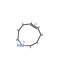 C1=C\CCCNCCC/1